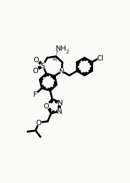 CC(C)OCc1nnc(-c2cc3c(cc2F)S(=O)(=O)C[C@H](N)CN3Cc2ccc(Cl)cc2)o1